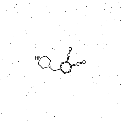 O=C=c1ccc(CN2CCNCC2)cc1=C=O